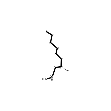 CCCCCC[C@H](C)CNN